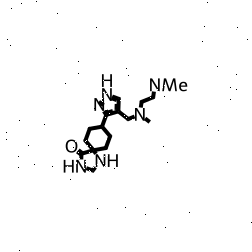 CNCCN(C)Cc1c[nH]nc1C1CCC2(CC1)NCNC2=O